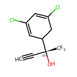 C#C[C@@](O)(C1C=C(Cl)C=C(Cl)C1)C(F)(F)F